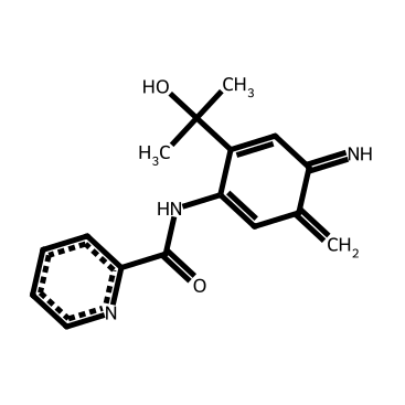 C=C1C=C(NC(=O)c2ccccn2)C(C(C)(C)O)=CC1=N